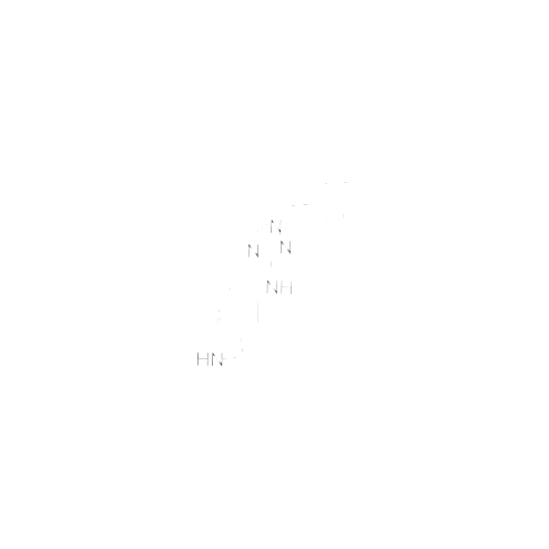 c1ccc(-c2cccc3nc(Nc4ccc5c(c4)CNC5)nn23)cc1